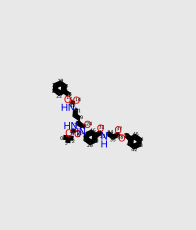 CC(C)(C)OC(=O)N[C@@H](CCCNC(=O)OCc1ccccc1)C(=O)Nc1cccc(C(=O)NCCC(=O)OCc2ccccc2)c1